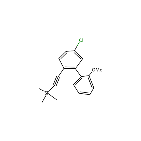 COc1ccccc1-c1cc(Cl)ccc1C#C[Si](C)(C)C